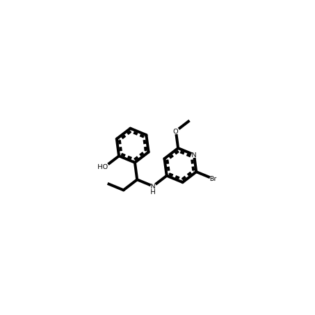 CCC(Nc1cc(Br)nc(OC)c1)c1ccccc1O